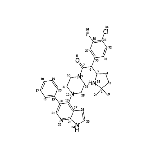 CC1(C)CCC(C(C(=O)N2CCN(c3c(-c4ccccc4)cnc4[nH]ccc34)CC2)c2ccc(Cl)c(F)c2)N1